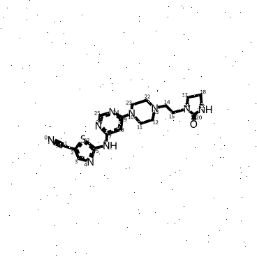 N#Cc1cnc(Nc2cc(N3CCN(CCN4CCNC4=O)CC3)ncn2)s1